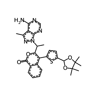 Cc1nn(C(C)c2oc(=O)c3ccccc3c2-c2ccc(C3OC(C)(C)C(C)(C)O3)s2)c2ncnc(N)c12